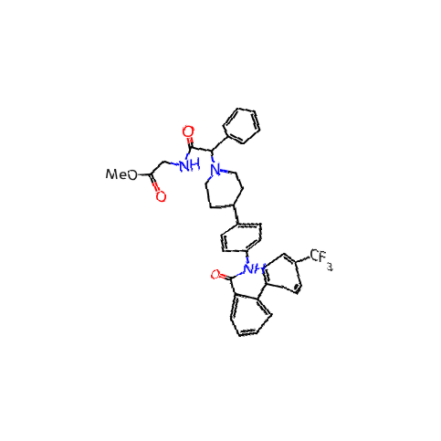 COC(=O)CNC(=O)C(c1ccccc1)N1CCC(c2ccc(NC(=O)c3ccccc3-c3ccc(C(F)(F)F)cc3)cc2)CC1